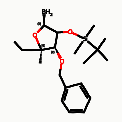 B[C@@H]1O[C@](C)(CC)[C@H](OCc2ccccc2)C1O[Si](C)(C)C(C)(C)C